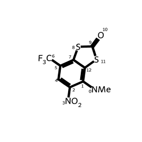 CNc1c([N+](=O)[O-])cc(C(F)(F)F)c2sc(=O)sc12